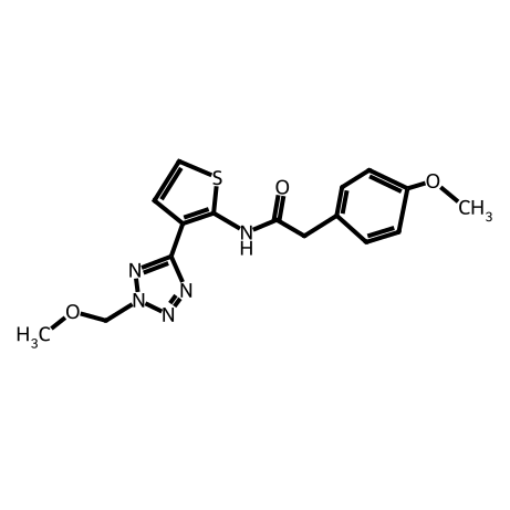 COCn1nnc(-c2ccsc2NC(=O)Cc2ccc(OC)cc2)n1